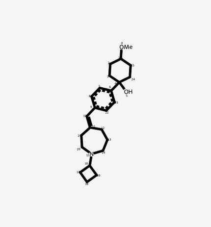 COC1CCC(O)(c2ccc(/C=C3\CCCN(C4CCC4)CC3)cc2)CC1